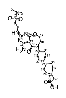 CN(C)S(=O)(=O)CCNc1nc(N)c2c(n1)OCCN(c1ccc([C@H]3CC[C@H](CC(=O)O)CC3)cc1)C2=O